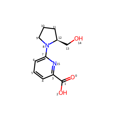 O=C(O)c1cccc(N2CCC[C@H]2CO)n1